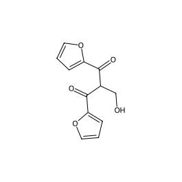 O=C(c1ccco1)C(CO)C(=O)c1ccco1